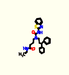 CCNC(=O)CCCN(CCC(c1ccccc1)c1ccccc1)C(=O)Nc1nc2ccccc2s1